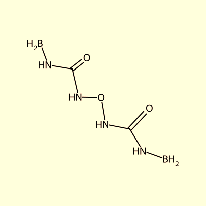 BNC(=O)NONC(=O)NB